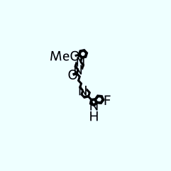 COc1ccccc1N1CCN(C(=O)CCCCN2CC=C(c3c[nH]c4cc(F)ccc34)CC2)CC1